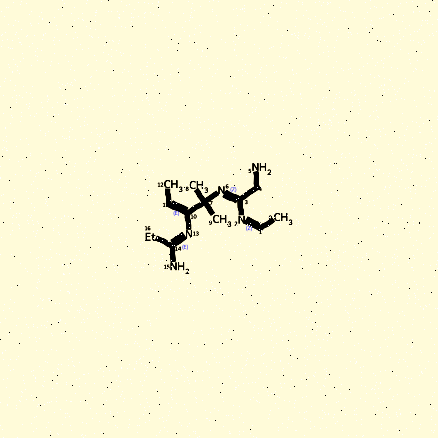 C/C=N\C(CN)=N/C(C)(C)C(=C\C)/N=C(/N)CC